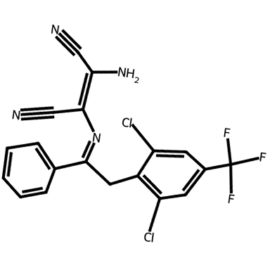 N#CC(N)=C(C#N)N=C(Cc1c(Cl)cc(C(F)(F)F)cc1Cl)c1ccccc1